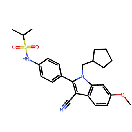 COc1ccc2c(C#N)c(-c3ccc(NS(=O)(=O)C(C)C)cc3)n(CC3CCCC3)c2c1